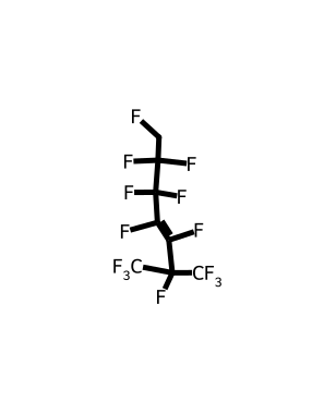 FCC(F)(F)C(F)(F)C(F)=C(F)C(F)(C(F)(F)F)C(F)(F)F